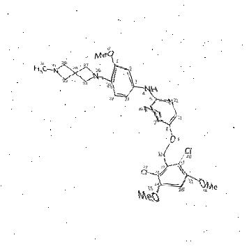 COc1cc(Nc2ncc(OCc3c(Cl)c(OC)cc(OC)c3Cl)cn2)ccc1N1CC2(CN(C)C2)C1